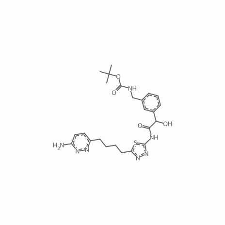 CC(C)(C)OC(=O)NCc1cccc(C(O)C(=O)Nc2nnc(CCCCc3ccc(N)nn3)s2)c1